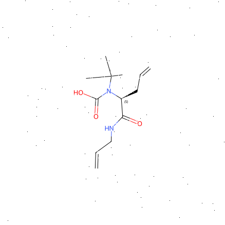 C=CCNC(=O)[C@H](CC=C)N(C(=O)O)C(C)(C)C